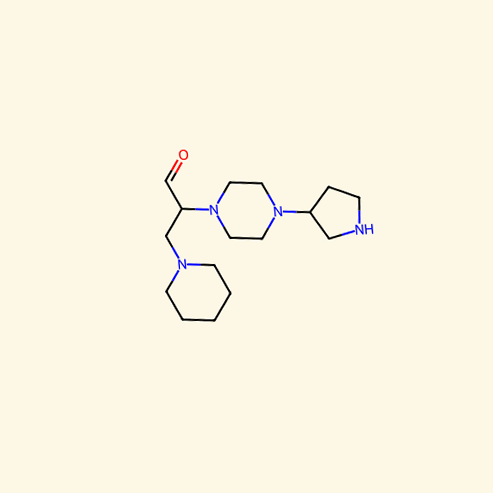 O=CC(CN1CCCCC1)N1CCN(C2CCNC2)CC1